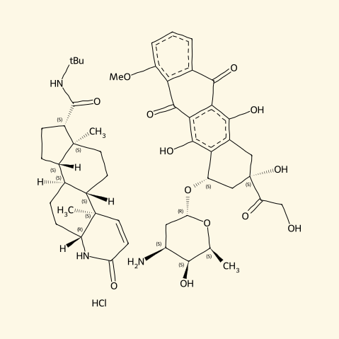 CC(C)(C)NC(=O)[C@H]1CC[C@H]2[C@@H]3CC[C@H]4NC(=O)C=C[C@]4(C)[C@H]3CC[C@]12C.COc1cccc2c1C(=O)c1c(O)c3c(c(O)c1C2=O)C[C@@](O)(C(=O)CO)C[C@@H]3O[C@H]1C[C@H](N)[C@H](O)[C@H](C)O1.Cl